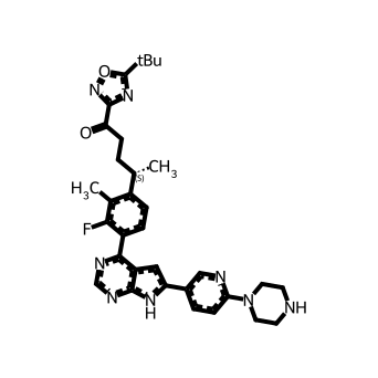 Cc1c([C@@H](C)CCC(=O)c2noc(C(C)(C)C)n2)ccc(-c2ncnc3[nH]c(-c4ccc(N5CCNCC5)nc4)cc23)c1F